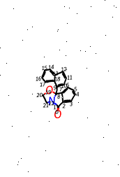 O=C1c2ccccc2C2(c3cccc4ccccc34)OCCN12